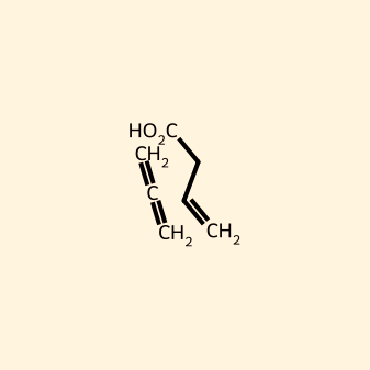 C=C=C.C=CCC(=O)O